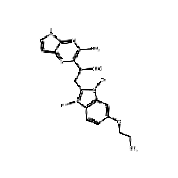 CCn1c(CN(C=O)c2nc3cc[nH]c3nc2N)[n+](CC)c2ccc(OCCN)cc21